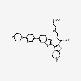 COCCNCCN(C(=O)O)c1sc2c(c1-c1nc3ccc(-c4ccc(N5CCNCC5)nc4)cc3s1)CCNC2